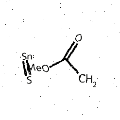 [CH2]C(=O)OC.[S]=[Sn]